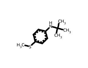 CSc1ccc(NC(C)(C)C)cc1